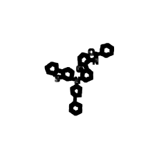 c1ccc(-c2ccc(N(c3ccc4c(c3)sc3ccccc34)c3cccc4c3oc3ccc5oc(-c6ccccc6)nc5c34)cc2)cc1